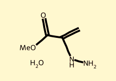 C=C(NN)C(=O)OC.O